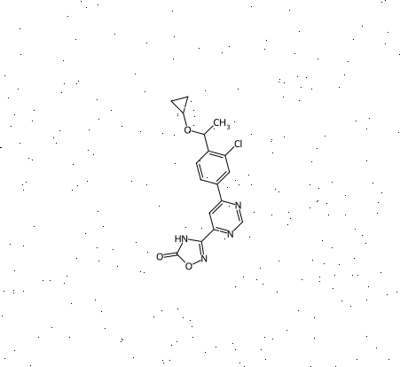 CC(OC1CC1)c1ccc(-c2cc(-c3noc(=O)[nH]3)ncn2)cc1Cl